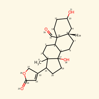 CC12CCC3C(CC[C@H]4CC(O)CCC34C=O)C1(O)CCC2C1=CC(=O)OC1